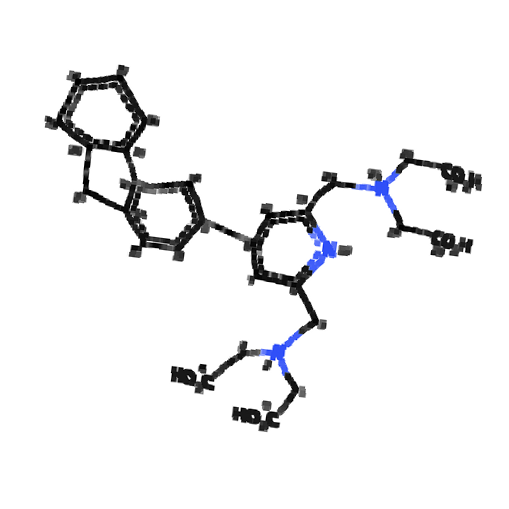 O=C(O)CN(CC(=O)O)Cc1cc(-c2ccc3c(c2)-c2ccccc2C3)cc(CN(CC(=O)O)CC(=O)O)n1